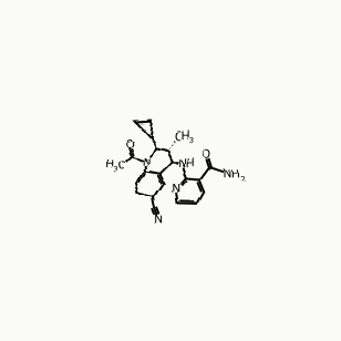 CC(=O)N1C2=CCC(C#N)C=C2[C@H](Nc2ncccc2C(N)=O)[C@@H](C)[C@@H]1C1CC1